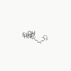 CCC(O)NC(=O)/C=C(C)/C=C/C=C(C)\C=C\C1=C(C)CCCC1(C)C